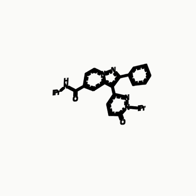 CC(C)NC(=O)c1ccn2nc(-c3ccccc3)c(-c3ccc(=O)n(C(C)C)n3)c2c1